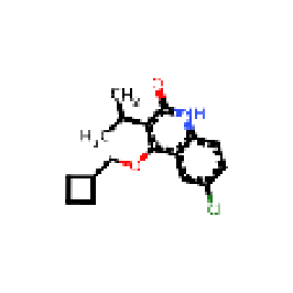 CC(C)c1c(OCC2CCC2)c2cc(Cl)ccc2[nH]c1=O